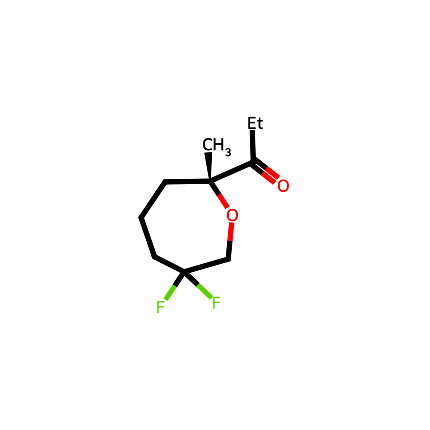 CCC(=O)[C@@]1(C)CCCC(F)(F)CO1